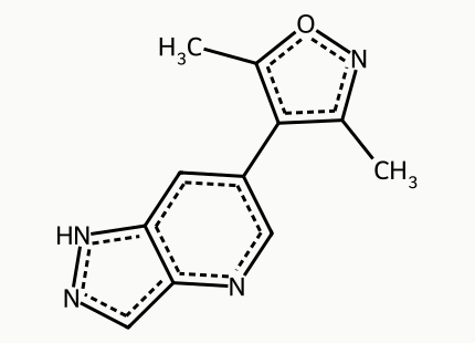 Cc1noc(C)c1-c1cnc2cn[nH]c2c1